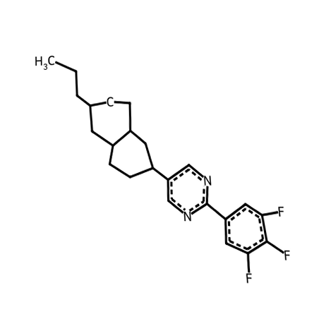 CCCC1CCC2CC(c3cnc(-c4cc(F)c(F)c(F)c4)nc3)CCC2C1